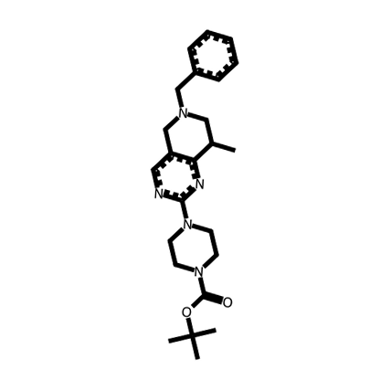 CC1CN(Cc2ccccc2)Cc2cnc(N3CCN(C(=O)OC(C)(C)C)CC3)nc21